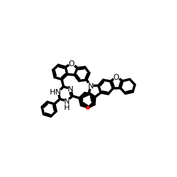 C1=Cc2c(oc3cc4c(cc23)c2ccccc2n4-c2ccc3oc4cccc(C5N=C(c6ccccc6)NC(c6ccccc6)N5)c4c3c2)CC1